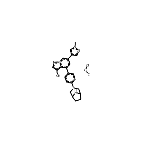 ClOCl.Cn1cc(-c2cc(-c3ccc(N4CC5CCC(C4)N5)nc3)c3c(C#N)cnn3c2)cn1